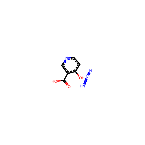 O=C(O)c1cnccc1O.[N-]=[N+]=N